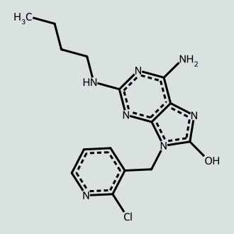 CCCCNc1nc(N)c2nc(O)n(Cc3cccnc3Cl)c2n1